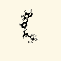 CC(C)(C)OC(=O)NC/C(=C\F)COc1cc(F)cc(Cn2c(=S)[nH]c(=O)c3[nH]ccc32)c1